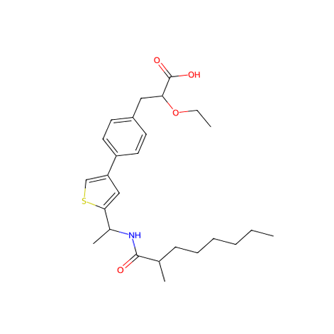 CCCCCCC(C)C(=O)NC(C)c1cc(-c2ccc(CC(OCC)C(=O)O)cc2)cs1